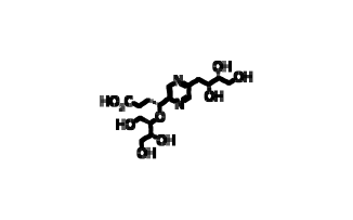 O=C(O)CC[C@@H](O[C@H](CO)[C@@H](O)CO)c1cnc(C[C@H](O)[C@H](O)CO)cn1